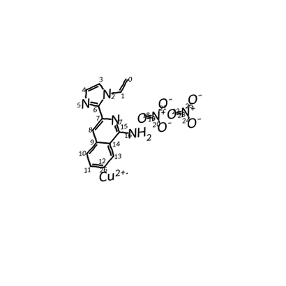 C=Cn1ccnc1-c1cc2ccccc2c(N)n1.O=[N+]([O-])[O-].O=[N+]([O-])[O-].[Cu+2]